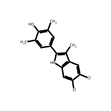 Cc1cc(-c2[nH]c3cc(Cl)c(Cl)cc3c2C)cc(C)c1O